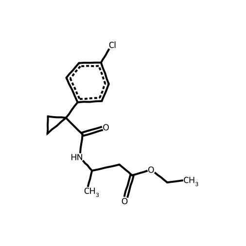 CCOC(=O)CC(C)NC(=O)C1(c2ccc(Cl)cc2)CC1